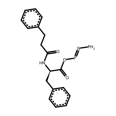 O=C(CCc1ccccc1)N[C@H](Cc1ccccc1)C(=O)O/P=N/P